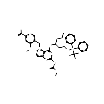 CCCC(CCO[Si](c1ccccc1)(c1ccccc1)C(C)(C)C)Nc1nc(NC(=O)OC)nc2cnn(Cc3cnc(C(=O)O)cc3OC)c12